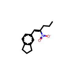 CCCC(=Cc1ccc2c(c1)CCC2)[N+](=O)[O-]